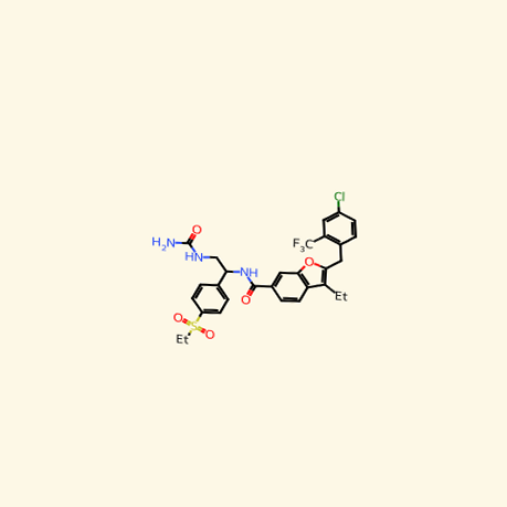 CCc1c(Cc2ccc(Cl)cc2C(F)(F)F)oc2cc(C(=O)NC(CNC(N)=O)c3ccc(S(=O)(=O)CC)cc3)ccc12